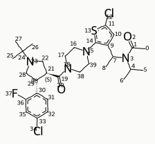 CC(=O)N(C(C)C)C(C)c1cc(Cl)sc1N1CCN(C(=O)[C@@H]2CN(C(C)(C)C)C[C@H]2c2ccc(Cl)cc2F)CC1